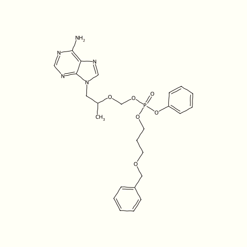 CC(Cn1cnc2c(N)ncnc21)OCOP(=O)(OCCCOCc1ccccc1)Oc1ccccc1